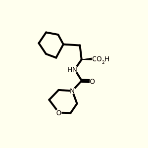 O=C(O)[C@H](CC1CCCCC1)NC(=O)N1CCOCC1